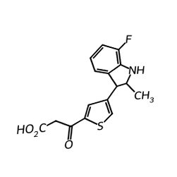 CC1Nc2c(F)cccc2C1c1csc(C(=O)CC(=O)O)c1